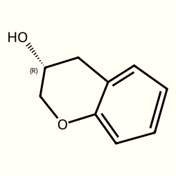 O[C@H]1COc2ccccc2C1